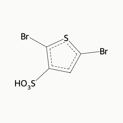 O=S(=O)(O)c1cc(Br)sc1Br